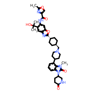 Cc1nc(C(=O)Nc2cc3oc([C@H]4CC[C@H](CN5CCC(c6cccc7c6n(C)c(=O)n7C6CCC(=O)NC6)CC5)CC4)nc3cc2C(C)(C)O)co1